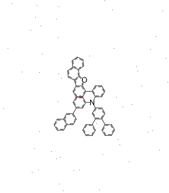 c1ccc(-c2ccc(N(c3cccc(-c4ccc5ccccc5c4)c3)c3ccccc3-c3cccc4c3oc3c5ccccc5ccc43)cc2-c2ccccc2)cc1